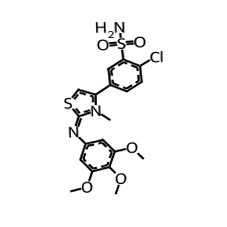 COc1cc(N=c2scc(-c3ccc(Cl)c(S(N)(=O)=O)c3)n2C)cc(OC)c1OC